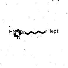 CCCCCCCCCCCCBr.c1c[nH]cn1